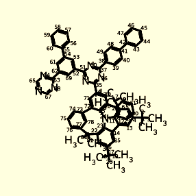 CC(C)(C)c1cc(C(C)(C)C)c2c(c1)c1cc(C(C)(C)C)cc3c1n2-c1c(-c2ccccc2)cc(-c2nc(-c4ccc(-c5ccccc5)cc4)nc(-c4cc(-c5ccccc5)cc(-c5ncncn5)c4)n2)cc1-c1cccc(c1)C3(C)C